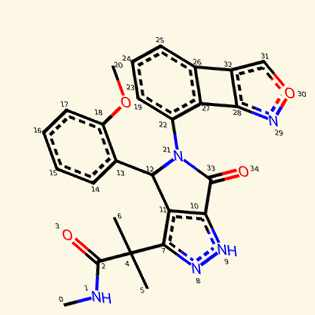 CNC(=O)C(C)(C)c1n[nH]c2c1C(c1ccccc1OC)N(c1cccc3c1-c1nocc1-3)C2=O